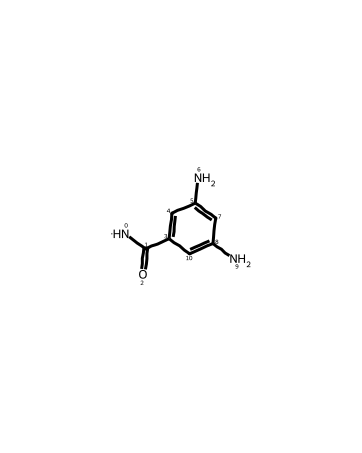 [NH]C(=O)c1cc(N)cc(N)c1